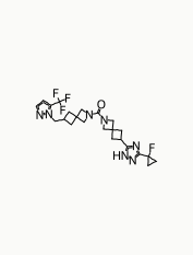 O=C(N1CC2(CC(Cn3nccc3C(F)(F)F)C2)C1)N1CC2(CC(c3nc(C4(F)CC4)n[nH]3)C2)C1